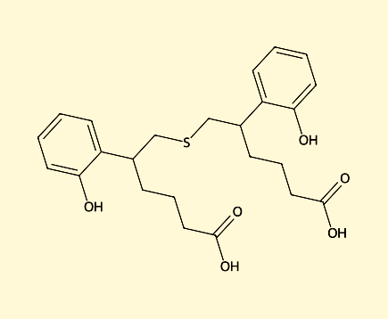 O=C(O)CCCC(CSCC(CCCC(=O)O)c1ccccc1O)c1ccccc1O